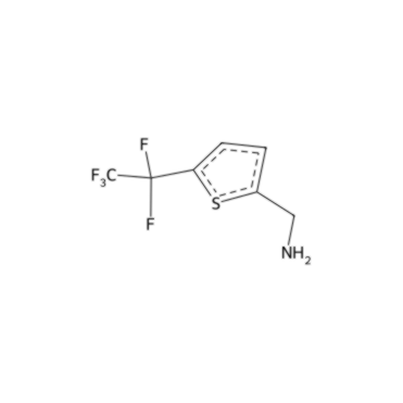 NCc1ccc(C(F)(F)C(F)(F)F)s1